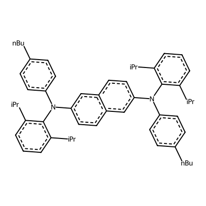 CCCCc1ccc(N(c2ccc3cc(N(c4ccc(CCCC)cc4)c4c(C(C)C)cccc4C(C)C)ccc3c2)c2c(C(C)C)cccc2C(C)C)cc1